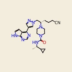 C[C@H](NC(=O)N1CCN([C@@H](CCCC#N)Cn2cc(-c3ncnc4[nH]ccc34)cn2)CC1)C1CC1